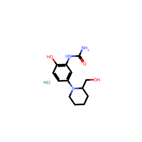 Cl.NC(=O)Nc1cc(N2CCCCC2CO)ccc1O